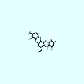 C=Cc1cc(Cc2ccnc(N)c2F)c(F)c(F)c1Nc1ccc(C)cc1Cl